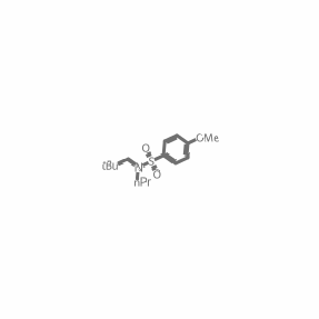 CCCN(CC(C)(C)C)S(=O)(=O)c1ccc(OC)cc1